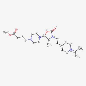 COC(=O)CCCN1CCN(C2OC(=O)N(CCC3CCN(C(C)C)CC3)C2C)CC1